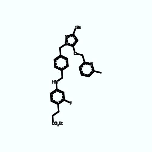 CCOC(=O)CCc1ccc(NCc2ccc(Cn3nc(C(C)(C)C)cc3OCc3cccc(C)n3)cc2)cc1F